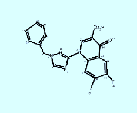 O=C(O)c1cn(-c2ncn(Cc3ccccc3)n2)c2cc(F)c(F)cc2c1=O